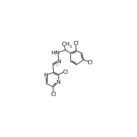 CC(N/N=C/c1ncc(Cl)nc1Cl)c1ccc(Cl)cc1Cl